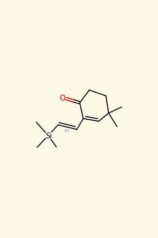 CC1(C)C=C(/C=C/[Si](C)(C)C)C(=O)CC1